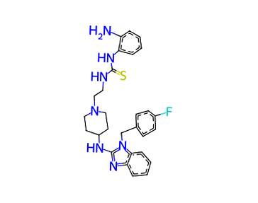 Nc1ccccc1NC(=S)NCCN1CCC(Nc2nc3ccccc3n2Cc2ccc(F)cc2)CC1